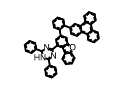 c1ccc(C2=NC(c3cc(-c4ccccc4-c4ccc5c6ccccc6c6ccccc6c5c4)cc4oc5ccccc5c34)=NC(c3ccccc3)N2)cc1